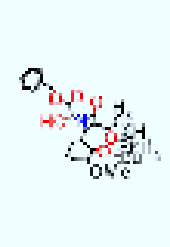 CO[C@H]1CCC[C@H]([C@@H]2[C@@H]([C@@H](C)O[Si](C)(C)C(C)(C)C)C(=O)N2C(O)C(=O)OCc2ccccc2)C1=O